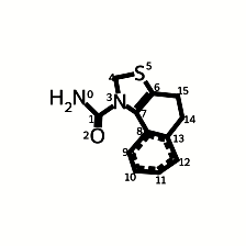 NC(=O)N1[CH]SC2=C1c1ccccc1CC2